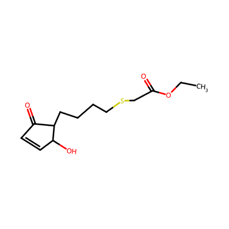 CCOC(=O)CSCCCCC1C(=O)C=CC1O